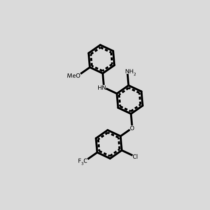 COc1ccccc1Nc1cc(Oc2ccc(C(F)(F)F)cc2Cl)ccc1N